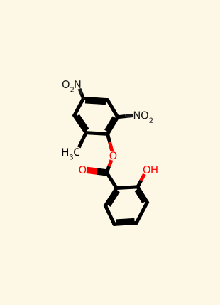 Cc1cc([N+](=O)[O-])cc([N+](=O)[O-])c1OC(=O)c1ccccc1O